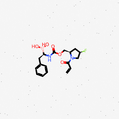 C=CC(=O)N1C[C@H](F)C[C@@H]1COC(=O)N[C@@H](Cc1ccccc1)B(O)O